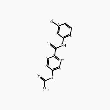 CC(=O)Oc1ccc(C(=O)Nc2cccc(Cl)c2)nc1